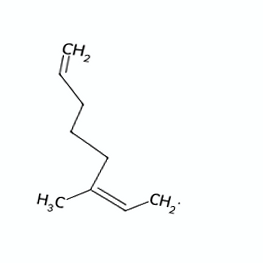 [CH2]C=C(C)CCCC=C